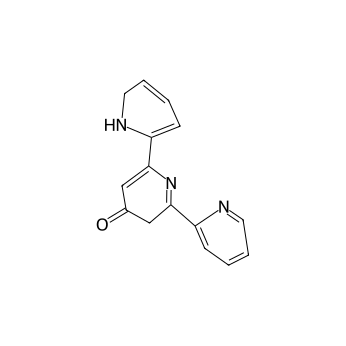 O=C1C=C(C2=CC=CCN2)N=C(c2ccccn2)C1